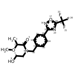 COC(C)C(=O)N(CCO)Cc1ccc(-c2noc(C(F)(F)F)n2)cc1